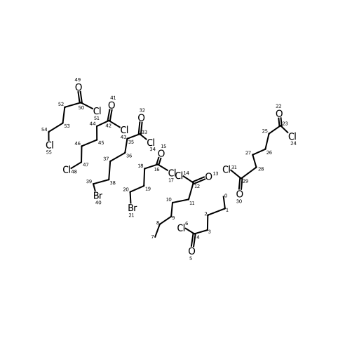 CCCCC(=O)Cl.CCCCCC(=O)Cl.O=C(Cl)CCCBr.O=C(Cl)CCCCC(=O)Cl.O=C(Cl)CCCCCBr.O=C(Cl)CCCCCl.O=C(Cl)CCCCl